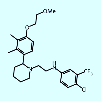 COCCOc1ccc(C2CCCCN2CCNc2ccc(Cl)c(C(F)(F)F)c2)c(C)c1C